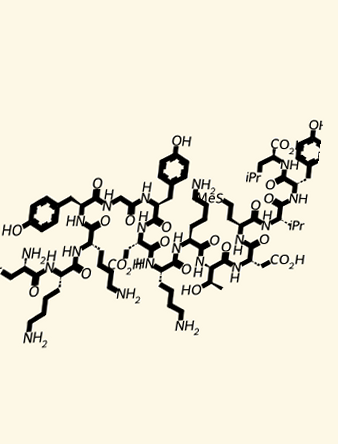 CSCC[C@H](NC(=O)[C@H](CC(=O)O)NC(=O)[C@@H](NC(=O)[C@H](CCCCN)NC(=O)[C@H](CCCCN)NC(=O)[C@H](CC(=O)O)NC(=O)[C@H](Cc1ccc(O)cc1)NC(=O)CNC(=O)[C@H](Cc1ccc(O)cc1)NC(=O)[C@H](CCCCN)NC(=O)[C@H](CCCCN)NC(=O)[C@@H](N)CC(C)C)[C@@H](C)O)C(=O)N[C@H](C(=O)N[C@@H](Cc1ccc(O)cc1)C(=O)N[C@@H](CC(C)C)C(=O)O)C(C)C